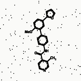 COc1ccc(-c2ccco2)cc1-c1ccc(NC(=O)c2ccncc2C)cc1